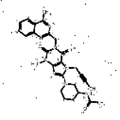 CC#CCn1c(N2CCCC(NC(=O)C(F)(F)F)C2)nc2c1c(=O)n(Cc1nc(C)c3ccccc3n1)c(=O)n2C